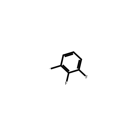 [CH2]c1cccc(F)c1F